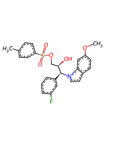 COc1ccc2ccn([C@@H](c3cccc(F)c3)[C@H](O)COS(=O)(=O)c3ccc(C)cc3)c2c1